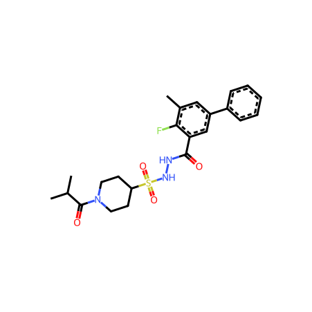 Cc1cc(-c2ccccc2)cc(C(=O)NNS(=O)(=O)C2CCN(C(=O)C(C)C)CC2)c1F